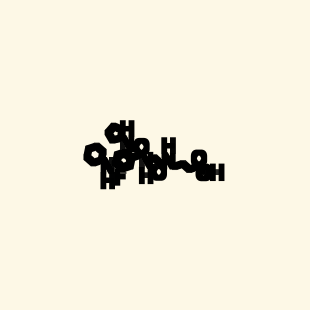 O=C(O)CCCNC(=O)CNC(=O)c1cc(F)c(NC2CCCCC2)cc1NC1CCCC1